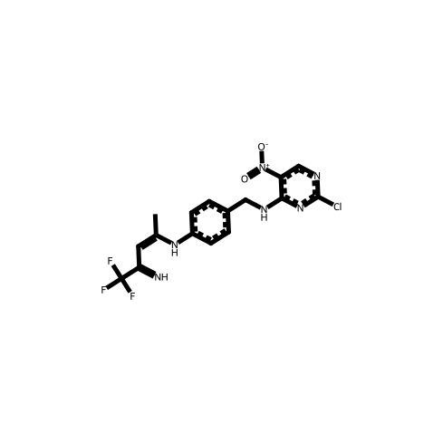 C/C(=C/C(=N)C(F)(F)F)Nc1ccc(CNc2nc(Cl)ncc2[N+](=O)[O-])cc1